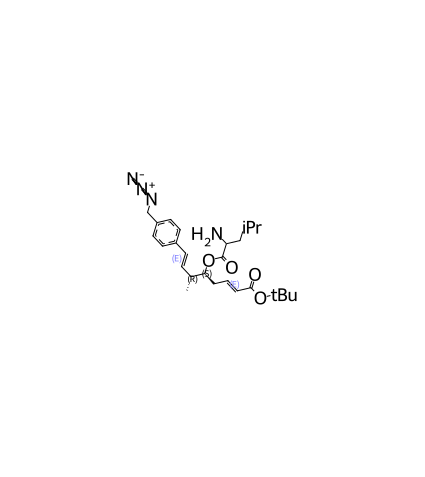 CC(C)CC(N)C(=O)O[C@@H](C/C=C/C(=O)OC(C)(C)C)[C@H](C)/C=C/c1ccc(CN=[N+]=[N-])cc1